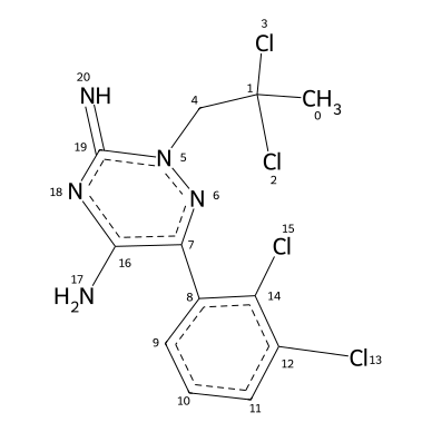 CC(Cl)(Cl)Cn1nc(-c2cccc(Cl)c2Cl)c(N)nc1=N